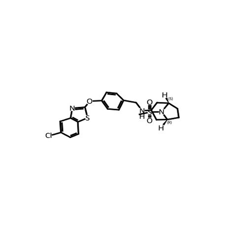 CS(=O)(=O)N1[C@@H]2CC[C@H]1CC(NCc1ccc(Oc3nc4cc(Cl)ccc4s3)cc1)C2